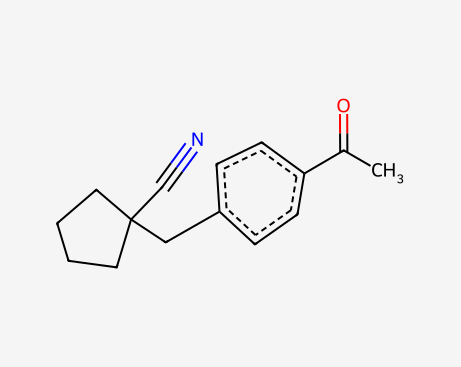 CC(=O)c1ccc(CC2(C#N)CCCC2)cc1